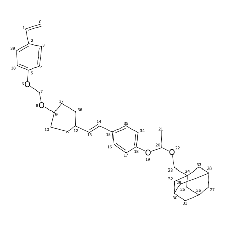 C=Cc1ccc(OCOC2CCC(/C=C/c3ccc(OC(C)OCC45CC6CC(CC(C6)C4)C5)cc3)CC2)cc1